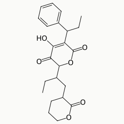 CCC(C1=C(O)C(=O)C(C(CC)CC2CCCOC2=O)OC1=O)c1ccccc1